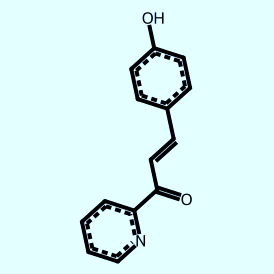 O=C(/C=C/c1ccc(O)cc1)c1ccccn1